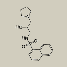 O=S(=O)(NC[C@H](O)CN1CCCC1)c1cccc2ccccc12